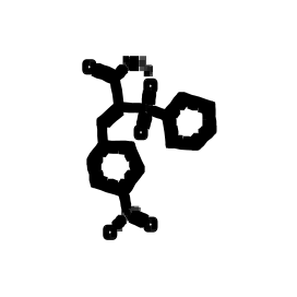 NC(=O)C(=Cc1ccc([N+](=O)[O-])cc1)S(=O)(=O)c1ccccc1